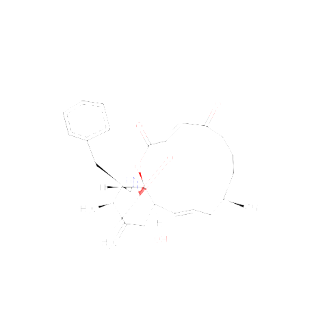 C=C1[C@@H](C)[C@H]2[C@H](Cc3ccccc3)NC(=O)[C@]23OC(=O)/C=C/C(=O)CCC[C@@H](C)C/C=C/[C@H]3[C@@H]1O